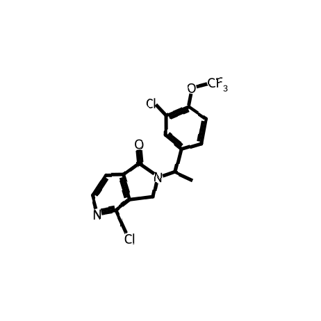 CC(c1ccc(OC(F)(F)F)c(Cl)c1)N1Cc2c(ccnc2Cl)C1=O